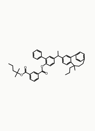 CCCC(C)(C)OC(=O)c1cccc(C(=O)Oc2ccc(C(C)c3ccc4c(c3)-c3ccc(cc3)CCC4(C)CCC)cc2-c2ccccc2)c1